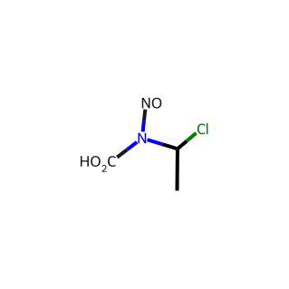 CC(Cl)N(N=O)C(=O)O